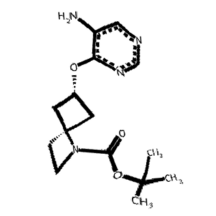 CC(C)(C)OC(=O)N1CC[C@]12C[C@@H](Oc1ncncc1N)C2